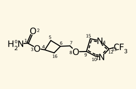 NC(=O)OC1CC(COc2cnc(C(F)(F)F)nc2)C1